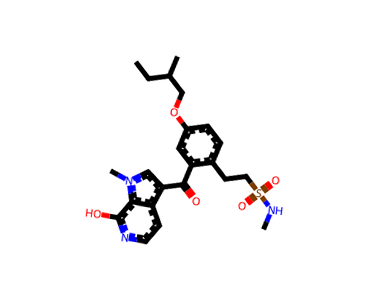 CCC(C)COc1ccc(CCS(=O)(=O)NC)c(C(=O)c2cn(C)c3c(O)nccc23)c1